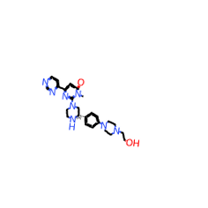 Cn1c(N2CCN[C@@H](c3ccc(N4CCN(CCO)CC4)cc3)C2)nc(-c2ccncn2)cc1=O